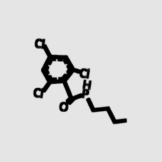 CCCCPC(=O)c1c(Cl)cc(Cl)cc1Cl